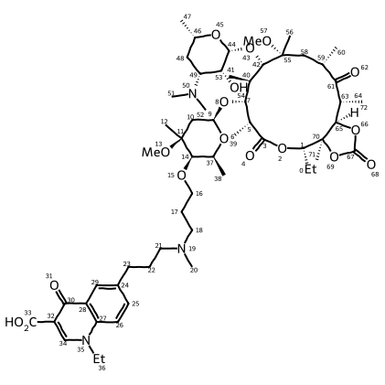 CC[C@@H]1OC(=O)[C@H](C)[C@H](O[C@@H]2C[C@](C)(OC)[C@H](OCCCN(C)CCCc3ccc4c(c3)c(=O)c(C(=O)O)cn4CC)[C@H](C)O2)[C@@H](C)[C@H](O[C@H]2O[C@@H](C)C[C@@H](N(C)C)[C@H]2O)[C@](C)(OC)C[C@H](C)C(=O)[C@H](C)[C@H]2OC(=O)O[C@@]12C